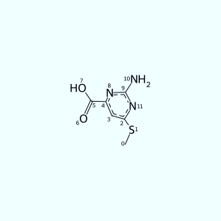 CSc1cc(C(=O)O)nc(N)n1